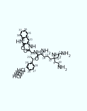 Cl.Cl.Cl.Cl.NCCC(N)(CCN)CCC[C@H](N)C(=O)N[C@H](CCc1ccccc1)C(=O)Nc1cc2ccccc2[nH]c1=O